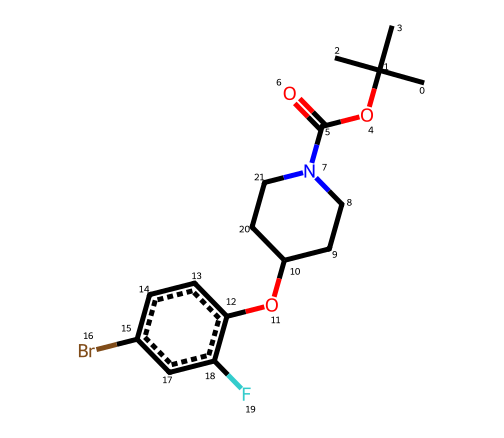 CC(C)(C)OC(=O)N1CCC(Oc2ccc(Br)cc2F)CC1